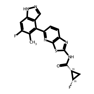 Cc1c(F)cc2[nH]ncc2c1-c1ccc2nc(NC(=O)[C@@H]3C[C@@H]3F)sc2n1